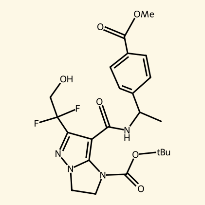 COC(=O)c1ccc(C(C)NC(=O)c2c(C(F)(F)CO)nn3c2N(C(=O)OC(C)(C)C)CC3)cc1